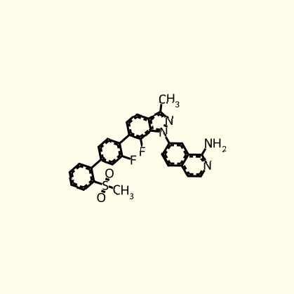 Cc1nn(-c2ccc3ccnc(N)c3c2)c2c(F)c(-c3ccc(-c4ccccc4S(C)(=O)=O)cc3F)ccc12